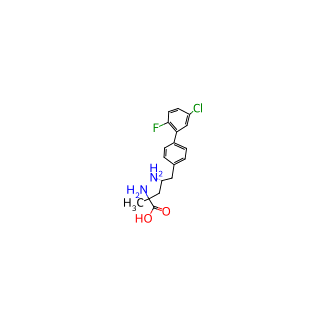 CC(N)(C[C@H](N)Cc1ccc(-c2cc(Cl)ccc2F)cc1)C(=O)O